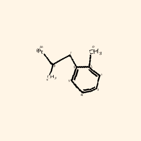 Cc1ccccc1CC(C)C(C)C